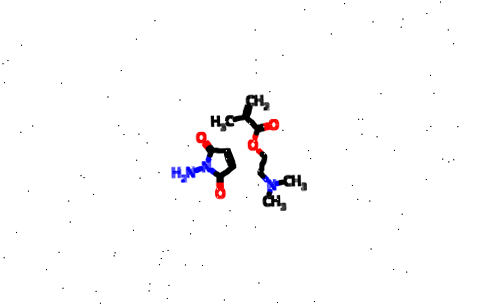 C=C(C)C(=O)OCCN(C)C.NN1C(=O)C=CC1=O